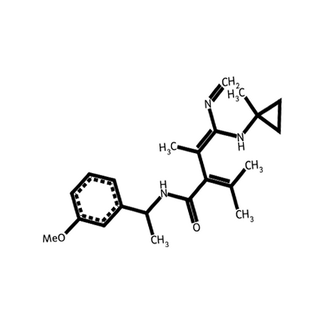 C=N/C(NC1(C)CC1)=C(\C)C(C(=O)NC(C)c1cccc(OC)c1)=C(C)C